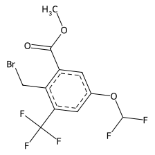 COC(=O)c1cc(OC(F)F)cc(C(F)(F)F)c1CBr